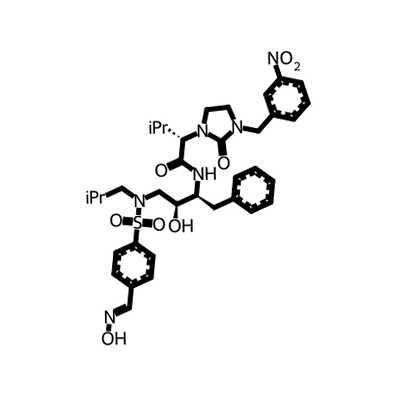 CC(C)CN(C[C@H](O)[C@H](Cc1ccccc1)NC(=O)[C@H](C(C)C)N1CCN(Cc2cccc([N+](=O)[O-])c2)C1=O)S(=O)(=O)c1ccc(C=NO)cc1